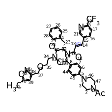 CC(=O)N1CCN(c2ccc(CN(C(=O)/C=C/c3ccc(C(F)(F)F)nc3)[C@@H](Cc3ccccc3)C(=O)N(C)CCOCc3cc(C)on3)cc2)CC1